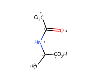 CCCC(NC(=O)C(Cl)(Cl)Cl)C(=O)O